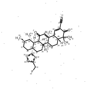 C[C@@H]1[C@H]2[C@H]3C(=O)C=C4[C@@]5(C)C=C(C#N)C(=O)C(C)(C)[C@@H]5CC[C@@]4(C)[C@]3(C)CC[C@@]2(c2nc(CF)no2)CC[C@H]1C